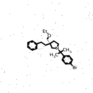 CCOC[C@]1(CCc2ccccc2)CCN(C(C)(C)c2ccc(Br)cc2)C1